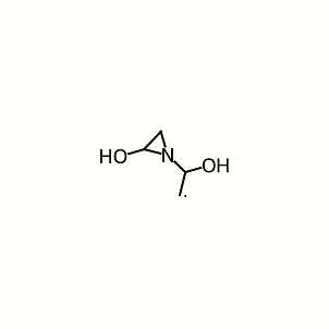 [CH2]C(O)N1CC1O